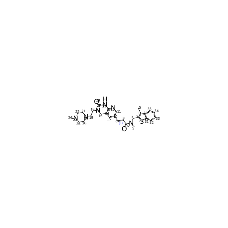 Cc1c(CN(C)C(=O)/C=C/c2cnc3c(c2)CN(CCN2CCN(C)CC2)C(=O)N3)sc2ccccc12